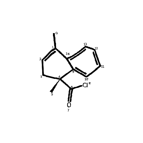 CC1=CC[C@@](C)(C(=O)Cl)c2ccccc21